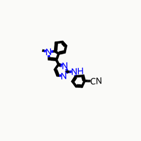 Cn1cc(-c2ccnc(Nc3cccc(C#N)c3)n2)c2ccccc21